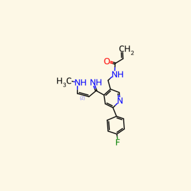 C=CC(=O)NCc1cnc(-c2ccc(F)cc2)cc1C(=N)/C=C\NC